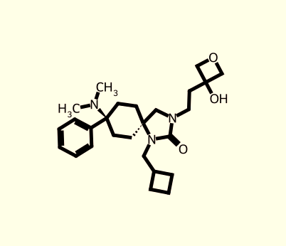 CN(C)[C@]1(c2ccccc2)CC[C@]2(CC1)CN(CCC1(O)COC1)C(=O)N2CC1CCC1